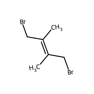 C/C(CBr)=C(/C)CBr